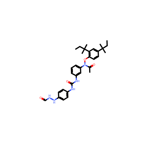 CCC(C)(C)c1ccc(ON(C(C)=O)c2cccc(NC(=O)Nc3ccc(NNC=O)cc3)c2)c(C(C)(C)CC)c1